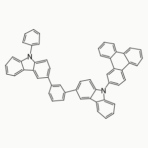 c1ccc(-n2c3ccccc3c3cc(-c4cccc(-c5ccc6c(c5)c5ccccc5n6-c5ccc6c7ccccc7c7ccccc7c6c5)c4)ccc32)cc1